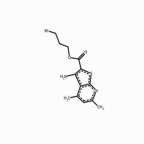 Cc1cc(C)c2c(N)c(C(=O)OCCCC(C)C)sc2n1